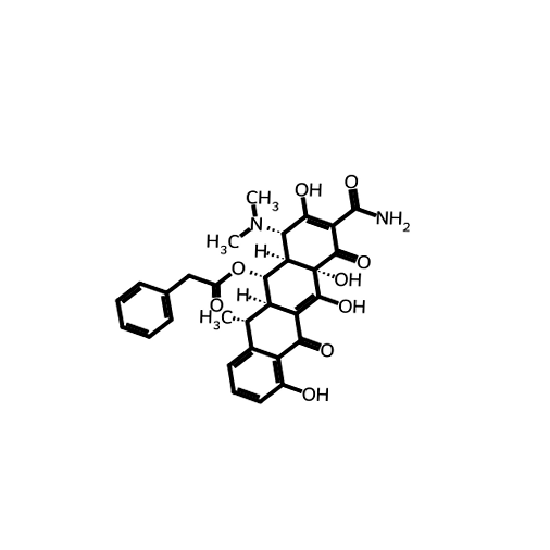 C[C@H]1c2cccc(O)c2C(=O)C2=C(O)[C@]3(O)C(=O)C(C(N)=O)=C(O)[C@@H](N(C)C)[C@@H]3[C@@H](OC(=O)Cc3ccccc3)[C@@H]21